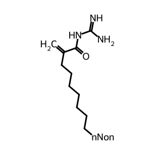 C=C(CCCCCCCCCCCCCCCC)C(=O)NC(=N)N